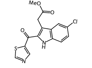 COC(=O)Cc1c(C(=O)c2cncs2)[nH]c2ccc(Cl)cc12